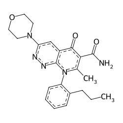 CCCc1ccccc1-n1c(C)c(C(N)=O)c(=O)c2cc(N3CCOCC3)nnc21